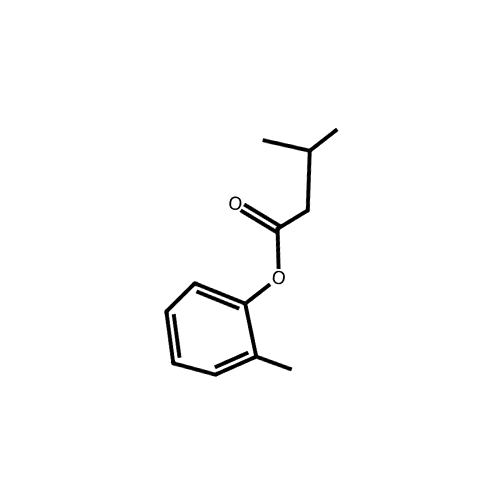 Cc1ccccc1OC(=O)CC(C)C